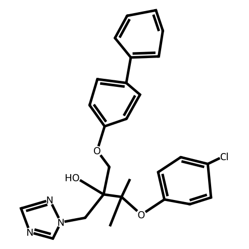 CC(C)(Oc1ccc(Cl)cc1)C(O)(COc1ccc(-c2ccccc2)cc1)Cn1cncn1